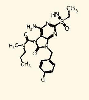 CCCN(C)C(=O)n1c(=O)n(Cc2ccc(Cl)cc2)c2nc([S@](=N)(=O)CC)nc(N)c21